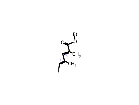 CCOC(=O)/C(C)=C/C(C)=C/I